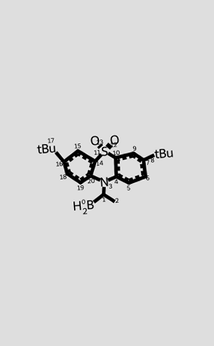 BC(C)N1c2ccc(C(C)(C)C)cc2S(=O)(=O)c2cc(C(C)(C)C)ccc21